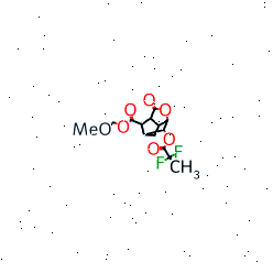 COCOC(=O)C1C2CC3C(OC(=O)C31)C2OC(=O)C(C)(F)F